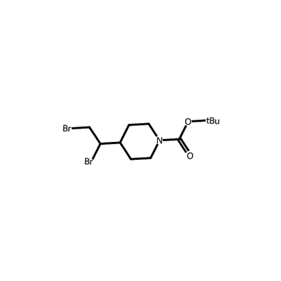 CC(C)(C)OC(=O)N1CCC(C(Br)CBr)CC1